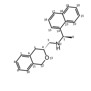 C[C@@H](NC[C@H]1Cc2ccccc2[CH]O1)c1cccc2ccccc12